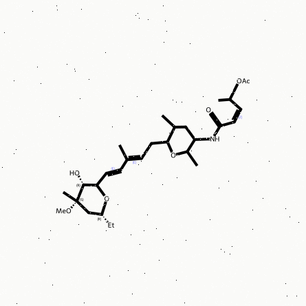 CC[C@@H]1C[C@](C)(OC)[C@H](O)C(/C=C/C(C)=C/CC2OC(C)C(NC(=O)/C=C\C(C)OC(C)=O)CC2C)O1